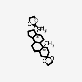 CC1([C@H]2CCC3C4CC=C5CC6(CC[C@]5(C)C4CC[C@@]32C)OCCO6)OCCO1